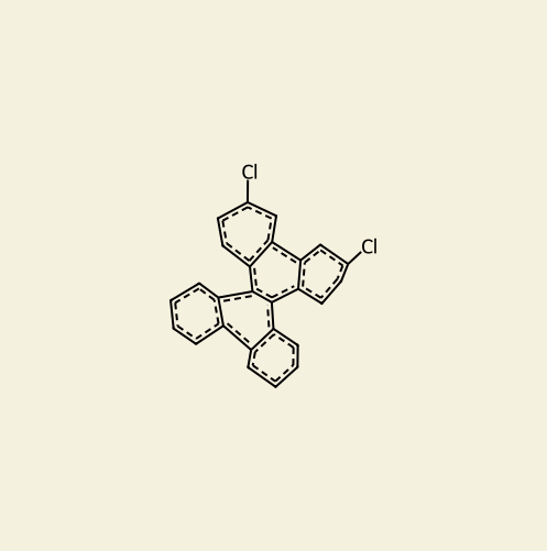 Clc1ccc2c(c1)c1cc(Cl)ccc1c1c3ccccc3c3ccccc3c21